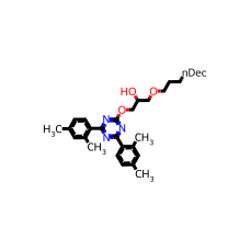 CCCCCCCCCCCCCOCC(O)COc1nc(-c2ccc(C)cc2C)nc(-c2ccc(C)cc2C)n1